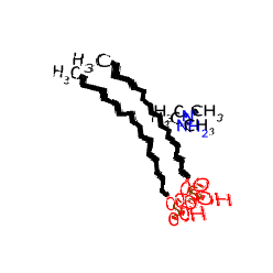 CCCCCCCCCCCCCCCCCCOS(=O)(=O)O.CCCCCCCCCCCCCCCCCCOS(=O)(=O)O.CN.CN(C)C